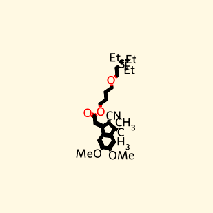 CC[Si](CC)(CC)CCOCCCCOC(=O)C=C1c2cc(OC)c(OC)cc2C(C)(C)C1C#N